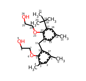 Cc1cc(C)c(OCCO)c(Cc2cc(C)cc(C(C)(C)C)c2OCCO)c1